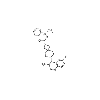 CC1C=Nc2ccc(F)cc2C1C1CCC2(CC1)CC(C(=O)O[C@@H](C)c1ccccc1)C2